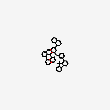 CC1(C)c2ccccc2-c2cccc(-c3cccc(N(c4cccc(-c5cccc6ccccc56)c4)c4ccccc4-c4cccc5cccc(-c6ccccc6)c45)c3)c21